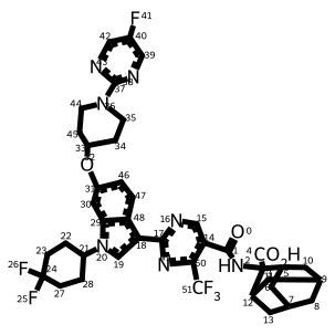 O=C(NC1(C(=O)O)C2CC3CC(C2)CC1C3)c1cnc(-c2cn(C3CCC(F)(F)CC3)c3cc(OC4CCN(c5ncc(F)cn5)CC4)ccc23)nc1C(F)(F)F